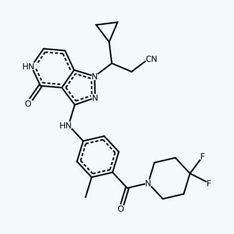 Cc1cc(Nc2nn(C(CC#N)C3CC3)c3cc[nH]c(=O)c23)ccc1C(=O)N1CCC(F)(F)CC1